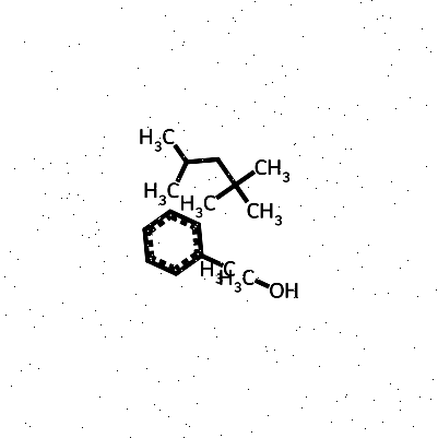 CC(C)CC(C)(C)C.CO.Cc1ccccc1